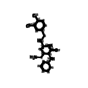 NCc1nc(NCc2ccc(Cl)c(Cl)c2)[nH]c(=O)c1Nc1ccccc1